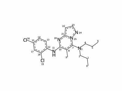 CCCN(CCC)c1c(C)c(Nc2ccc(Cl)cc2Cl)nc2ccnn12